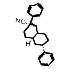 N#C[C@@]1(c2ccccc2)CC[C@@H]2C[C@@H](c3ccccc3)CCC2C1